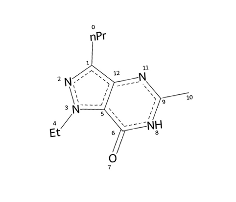 CCCc1nn(CC)c2c(=O)[nH]c(C)nc12